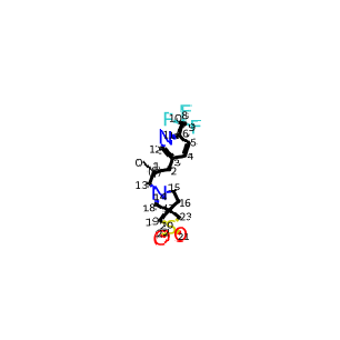 C[C@@H](Cc1ccc(C(F)(F)F)nc1)CN1CCC2(C1)CS(=O)(=O)C2